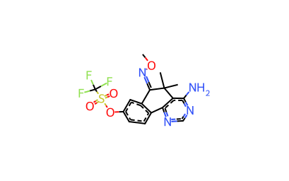 CON=C1c2cc(OS(=O)(=O)C(F)(F)F)ccc2-c2ncnc(N)c2C1(C)C